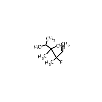 C=CC(C)(F)C(C)(C)C(C)O